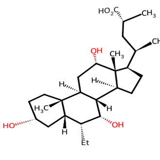 CC[C@H]1[C@@H](O)[C@@H]2[C@H](C[C@H](O)[C@]3(C)[C@@H]([C@H](C)C[C@@H](C)C(=O)O)CC[C@@H]23)[C@@]2(C)CC[C@@H](O)C[C@@H]12